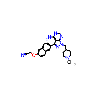 CN1CCC(Cn2nc(-c3ccc4cc(OCC#N)ccc4c3)c3c(N)ncnc32)CC1